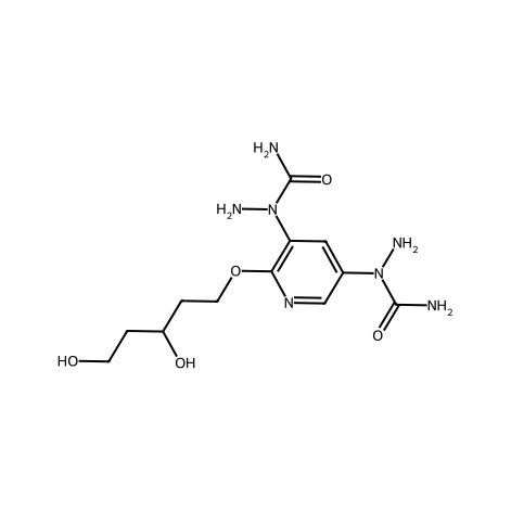 NC(=O)N(N)c1cnc(OCCC(O)CCO)c(N(N)C(N)=O)c1